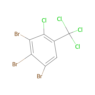 Clc1c(C(Cl)(Cl)Cl)cc(Br)c(Br)c1Br